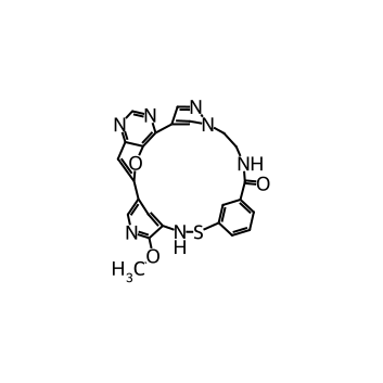 COc1ncc2cc1NSc1cccc(c1)C(=O)NCCn1cc(cn1)-c1ncnc3cc-2oc13